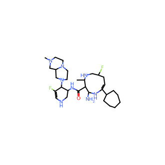 CC1NCC(F)C/C=C(/C2CCCCCC2)NC(N)C1C(=O)NC1CNC=C(F)C1N1CCN2CCN(C)CC2C1